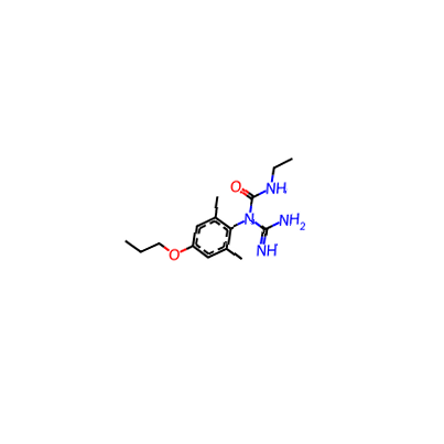 CCCOc1cc(C)c(N(C(=N)N)C(=O)NCC)c(C)c1